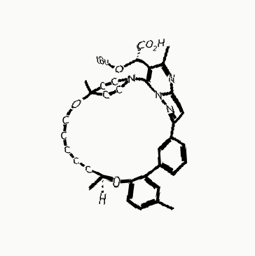 Cc1ccc2c(c1)-c1cccc(c1)-c1cc3nc(C)c([C@H](OC(C)(C)C)C(=O)O)c(n3n1)N1CCC(C)(CC1)OCCCCC[C@H](C)O2